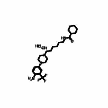 Cl.Cl.Nc1ccc(N2CCN(CCCCCCNC(=O)C3CCCCC3)CC2)cc1C(F)(F)F